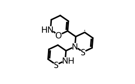 [CH]1C=CSN(C2CC=CSN2)C1C1=CCCNO1